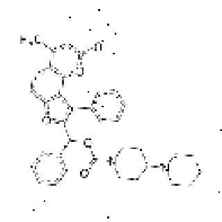 Cc1cc(=O)oc2c1ccc1oc(C(OC(=O)N3CCC(N4CCCCC4)CC3)c3ccccc3)c(-c3ccccc3)c12